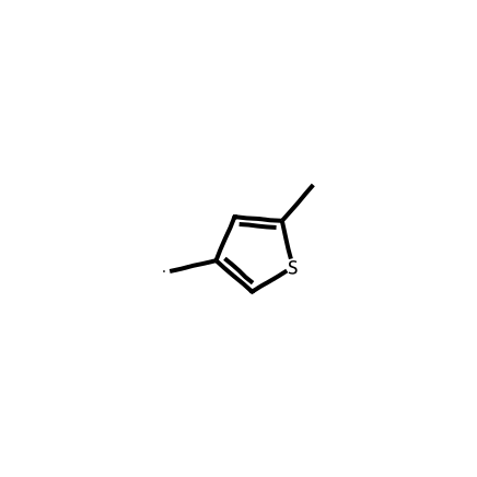 [CH2]c1csc(C)c1